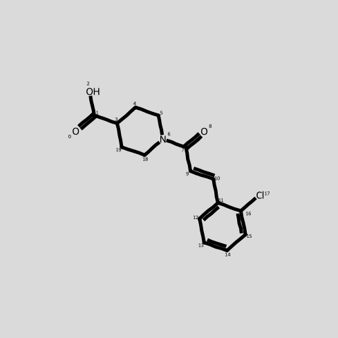 O=C(O)C1CCN(C(=O)C=Cc2ccccc2Cl)CC1